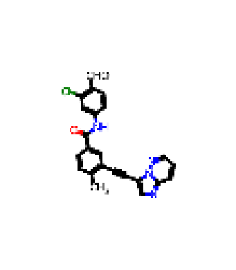 Cc1ccc(C(=O)Nc2ccc(C=O)c(Cl)c2)cc1C#Cc1cnc2cccnn12